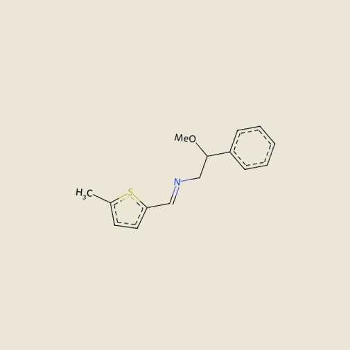 COC(CN=Cc1ccc(C)s1)c1ccccc1